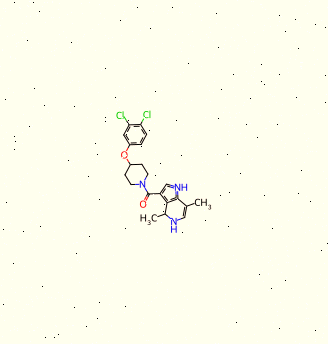 CC1=CNC(C)c2c(C(=O)N3CCC(Oc4ccc(Cl)c(Cl)c4)CC3)c[nH]c21